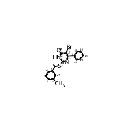 Cc1cccc(CSc2nc(-c3ccccc3)c(Br)c(=O)[nH]2)c1